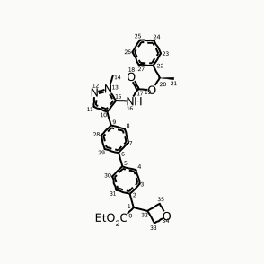 CCOC(=O)C(c1ccc(-c2ccc(-c3cnn(C)c3NC(=O)O[C@H](C)c3ccccc3)cc2)cc1)C1COC1